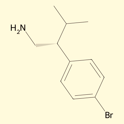 CC(C)[C@@H](CN)c1ccc(Br)cc1